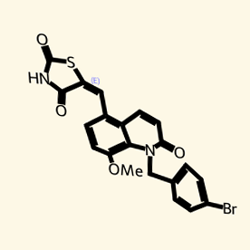 COc1ccc(/C=C2/SC(=O)NC2=O)c2ccc(=O)n(Cc3ccc(Br)cc3)c12